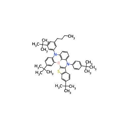 CCCCc1cc(N2c3ccc(C(C)(C)C)cc3B3c4sc5cc(C(C)(C)C)ccc5c4N(c4ccc(C(C)(C)C)cc4)c4cccc2c43)cc(C(C)(C)C)c1